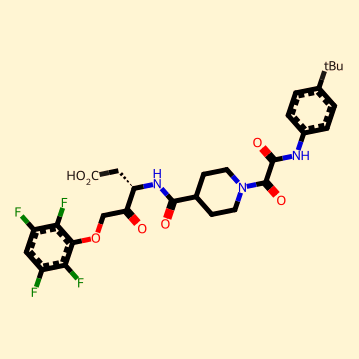 CC(C)(C)c1ccc(NC(=O)C(=O)N2CCC(C(=O)N[C@@H](CC(=O)O)C(=O)COc3c(F)c(F)cc(F)c3F)CC2)cc1